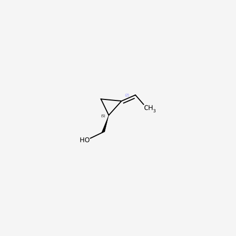 C/C=C1/C[C@@H]1CO